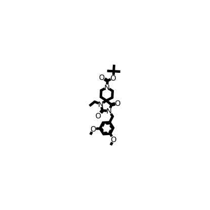 CCN1C(=O)N(Cc2cc(OC)cc(OC)c2)C(=O)C12CCN(C(=O)OC(C)(C)C)CC2